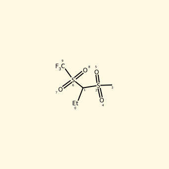 CCC(S(C)(=O)=O)S(=O)(=O)C(F)(F)F